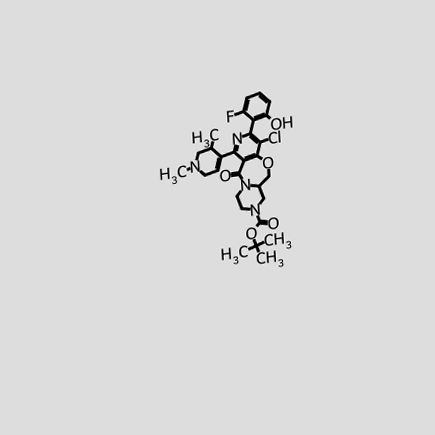 CC1CN(C)CC=C1c1nc(-c2c(O)cccc2F)c(Cl)c2c1C(=O)N1CCN(C(=O)OC(C)(C)C)CC1CO2